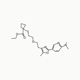 CCOC(=O)C1(SCCOCCc2nc(-c3ccc(N(C)C)nc3)oc2C)CCC1